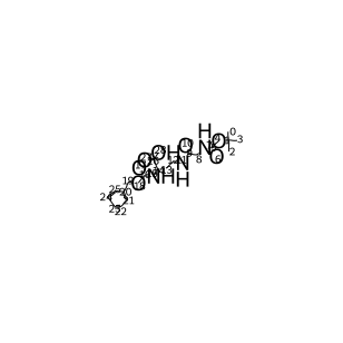 CC(C)(C)OC(=O)NCC(=O)NCC[C@H](NC(=O)OCc1ccccc1)C(=O)O